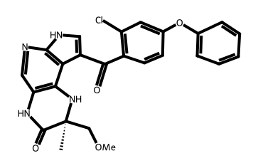 COC[C@]1(C)Nc2c(cnc3[nH]cc(C(=O)c4ccc(Oc5ccccc5)cc4Cl)c23)NC1=O